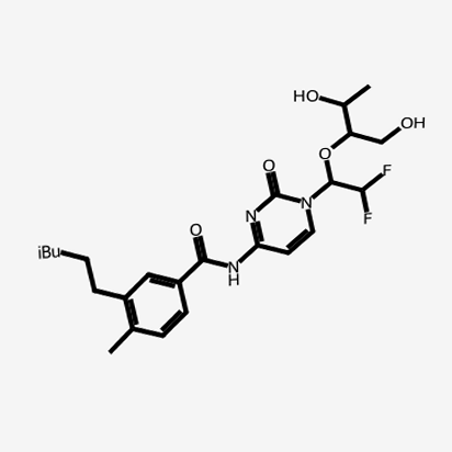 CCC(C)CCc1cc(C(=O)Nc2ccn(C(OC(CO)C(C)O)C(F)F)c(=O)n2)ccc1C